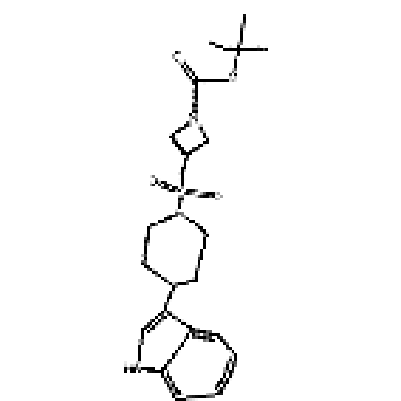 CC(C)(C)OC(=O)N1CC(S(=O)(=O)N2CCC(c3c[nH]c4ccccc34)CC2)C1